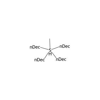 CCCCCCCCCC[SH](C)(CCCCCCCCCC)(CCCCCCCCCC)CCCCCCCCCC